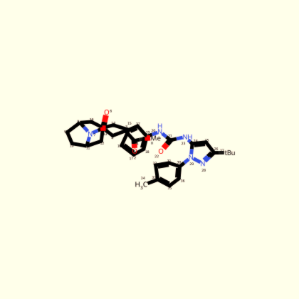 COC(=O)CCC(=O)N1C2CCC1CC(Cc1cccc(NC(=O)Nc3cc(C(C)(C)C)nn3-c3ccc(C)cc3)c1)C2